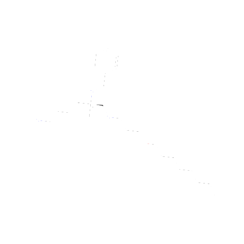 CCCCCCCCOCCCNC[C@@](C=O)(CCCCN)NCc1ccccc1